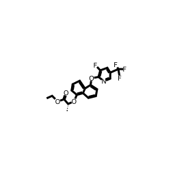 CCOC(=O)[C@@H](C)Oc1cccc2c(Oc3ncc(C(F)(F)F)cc3F)cccc12